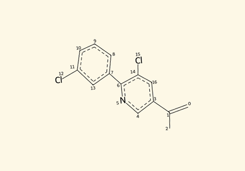 C=C(C)c1cnc(-c2cccc(Cl)c2)c(Cl)c1